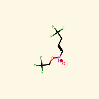 O=[PH](C=CCC(F)(F)F)OCC(F)(F)F